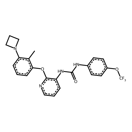 Cc1c(Oc2ncccc2NC(=O)Nc2ccc(OC(F)(F)F)cc2)cccc1N1CCC1